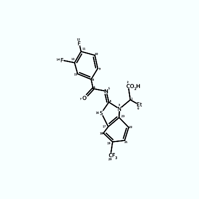 CCC(C(=O)O)n1/c(=N/C(=O)c2ccc(F)c(F)c2)sc2cc(C(F)(F)F)ccc21